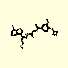 COCC/C(=N/NC(=O)CNC(=O)c1ccc(OC2COC2)c(OC)c1)c1csc2c(F)cccc12